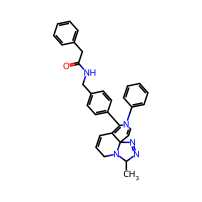 CC1N=NC23C=CN(c4ccccc4)C(c4ccc(CNC(=O)Cc5ccccc5)cc4)=C2C=CCN13